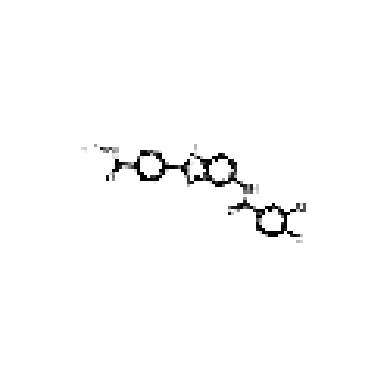 CNC(=O)c1ccc(-c2nc3cc(NC(=O)c4ccc(Cl)c(Cl)c4)ccc3[nH]2)cc1